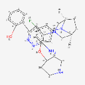 Nc1nnc(-c2ccccc2O)cc1N1C[C@H]2CC[C@@H](C1)N2c1cc(F)cc(OC2CCNCC2)c1